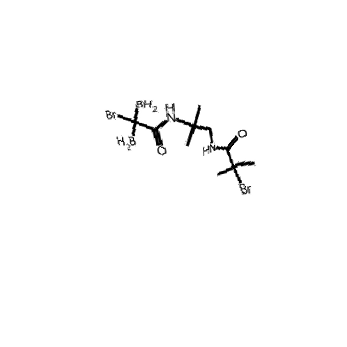 BC(B)(Br)C(=O)NC(C)(C)CNC(=O)C(C)(C)Br